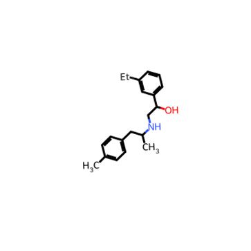 CCc1cccc(C(O)CNC(C)Cc2ccc(C)cc2)c1